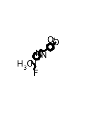 CN(CCF)c1ccn2cc(-c3ccc4c(c3)OCO4)nc2c1